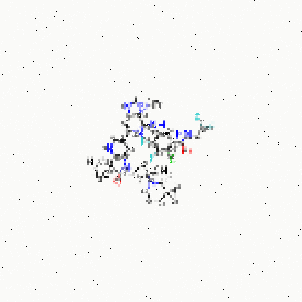 CC(C)n1cnc2cc(-c3cnc4c(c3)N([C@H]3C[C@@](C)(N5CCCC6(CC6)C5)C3)C(=O)C4(C)C)nc(Nc3cc(C(=O)NCC(F)F)c(Cl)c(F)c3F)c21